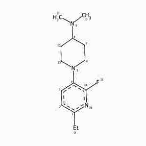 CCc1ccc(N2CCC(N(C)C)CC2)c(F)n1